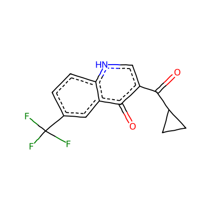 O=C(c1c[nH]c2ccc(C(F)(F)F)cc2c1=O)C1CC1